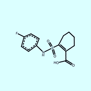 O=C(O)C1=C(S(=O)(=O)Nc2ccc(F)cc2)CCCC1